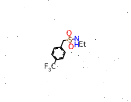 CCNS(=O)(=O)Cc1ccc(C(F)(F)F)cc1